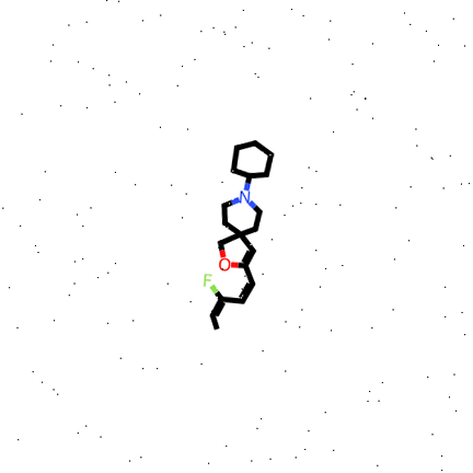 C/C=C(F)\C=C/C1=CC2(CCN(C3CCCCC3)CC2)CO1